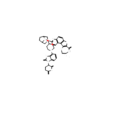 C[C@@H]1CNc2c(sc3ccc4nc(N5CC6CCC(C5)N6CC5CCN(c6cccc7c6n(C)c(=O)n7C6CCC(=O)NC6=O)CC5)ccc4c23)C(=O)N1